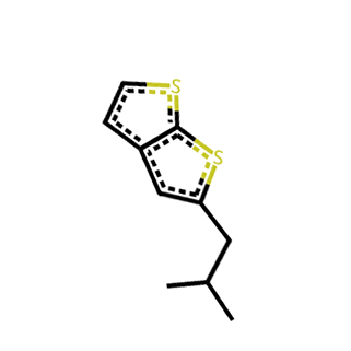 CC(C)Cc1cc2ccsc2s1